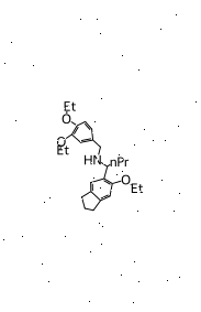 CCCC(NCc1ccc(OCC)c(OCC)c1)c1cc2c(cc1OCC)CCC2